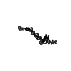 COC(=O)C(CCOCCOCCOCCOc1ccc(Br)cc1)c1cc(C)no1